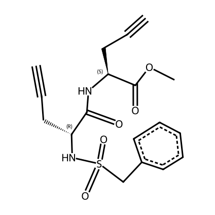 C#CC[C@H](NC(=O)[C@@H](CC#C)NS(=O)(=O)Cc1ccccc1)C(=O)OC